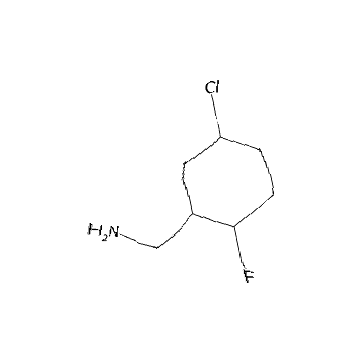 NCC1CC(Cl)CCC1F